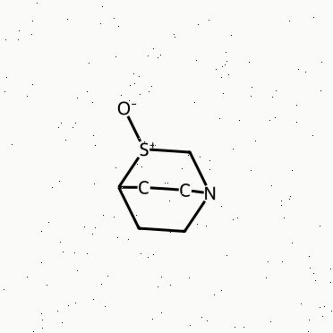 [O-][S+]1CN2CCC1CC2